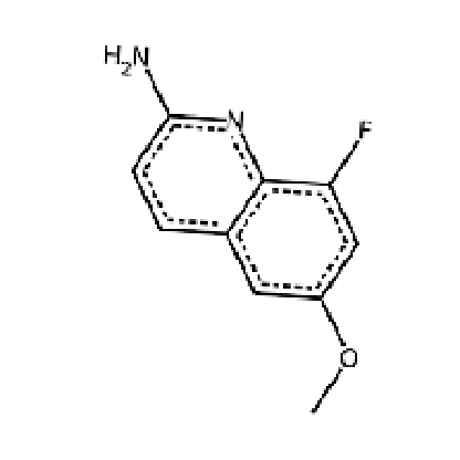 COc1cc(F)c2nc(N)ccc2c1